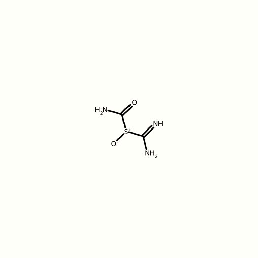 N=C(N)[S+]([O-])C(N)=O